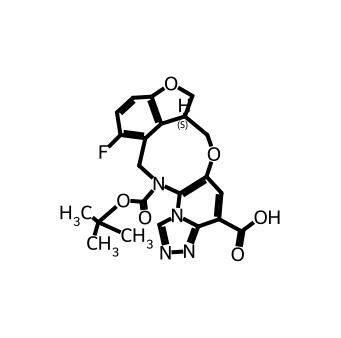 CC(C)(C)OC(=O)N1Cc2c(F)ccc3c2[C@@H](CO3)COc2cc(C(=O)O)c3nncn3c21